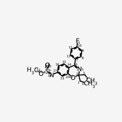 CCC1(CC)N=C(c2ccc(F)cc2)c2ccc(N=[SH](=O)OC)cc2O1